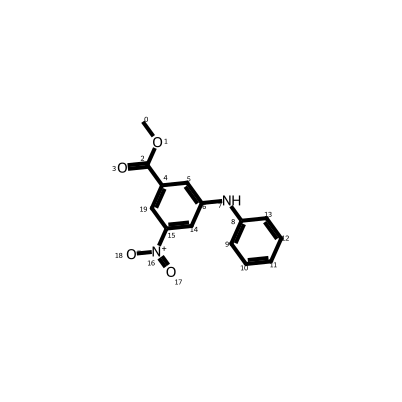 COC(=O)c1cc(Nc2ccccc2)cc([N+](=O)[O-])c1